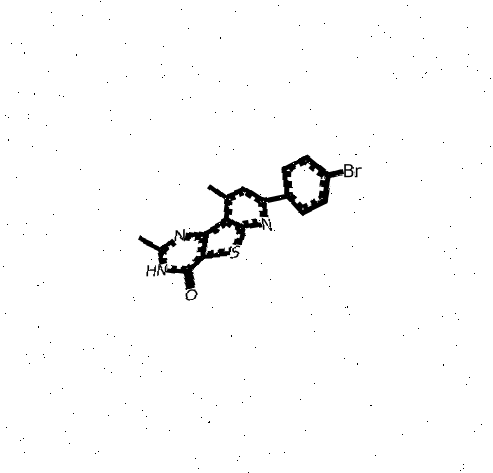 Cc1nc2c(sc3nc(-c4ccc(Br)cc4)cc(C)c32)c(=O)[nH]1